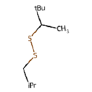 CC(C)CSSC(C)C(C)(C)C